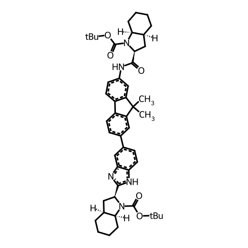 CC(C)(C)OC(=O)N1[C@H](C(=O)Nc2ccc3c(c2)C(C)(C)c2cc(-c4ccc5[nH]c([C@@H]6C[C@@H]7CCCC[C@@H]7N6C(=O)OC(C)(C)C)nc5c4)ccc2-3)C[C@@H]2CCCC[C@@H]21